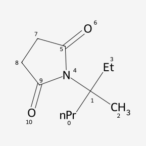 CCCC(C)(CC)N1C(=O)CCC1=O